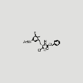 CC(=O)Nc1cc(F)c(C)c(CC[C@H](NC(=O)OCc2ccccc2)C(=O)Cl)c1